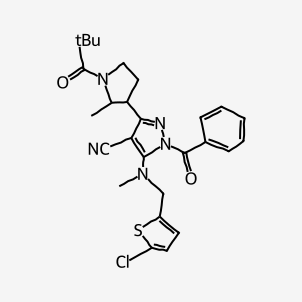 CC1C(c2nn(C(=O)c3ccccc3)c(N(C)Cc3ccc(Cl)s3)c2C#N)CCN1C(=O)C(C)(C)C